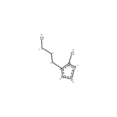 ClSCCc1nsnc1Cl